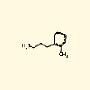 BCCCc1ccccc1C